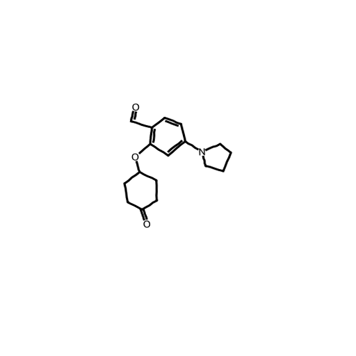 O=Cc1ccc(N2CCCC2)cc1OC1CCC(=O)CC1